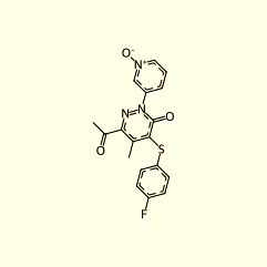 CC(=O)c1nn(-c2ccc[n+]([O-])c2)c(=O)c(Sc2ccc(F)cc2)c1C